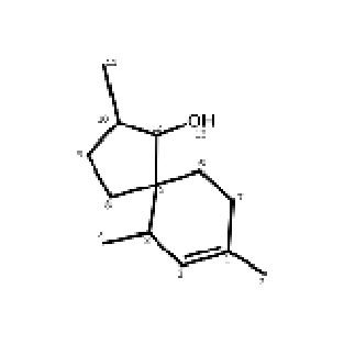 CC1=CC(C)C2(CC1)CCC(C)C2O